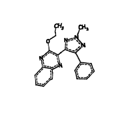 CCOc1nc2ccccc2nc1-c1nn(C)nc1-c1ccccc1